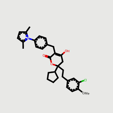 COc1ccc(CCC2(C3CCCC3)CC(O)=C(Cc3ccc(-n4c(C)ccc4C)cc3)C(=O)O2)cc1Cl